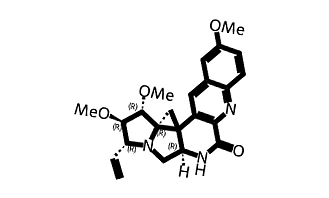 C=C[C@@H]1[C@@H](OC)[C@H](OC)[C@@]23CC24c2cc5cc(OC)ccc5nc2C(=O)N[C@H]4CN13